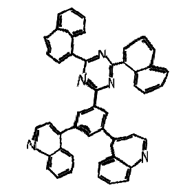 c1ccc2c(-c3nc(-c4cc(-c5ccnc6ccccc56)cc(-c5ccnc6ccccc56)c4)nc(-c4cccc5ccccc45)n3)cccc2c1